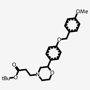 COc1ccc(COc2ccc(C3CN(CCC(=O)OC(C)(C)C)CCO3)cc2)cc1